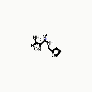 C/N=C(\NCc1ccco1)c1nonc1N